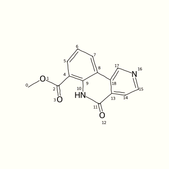 COC(=O)c1cccc2c1[nH]c(=O)c1ccncc12